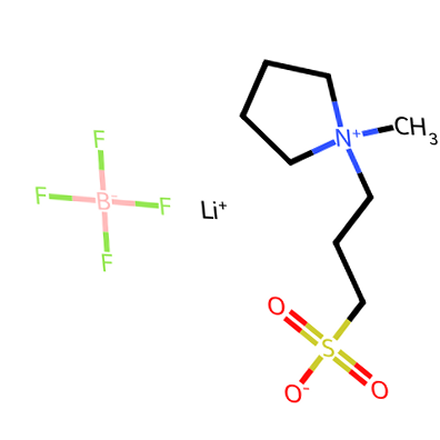 C[N+]1(CCCS(=O)(=O)[O-])CCCC1.F[B-](F)(F)F.[Li+]